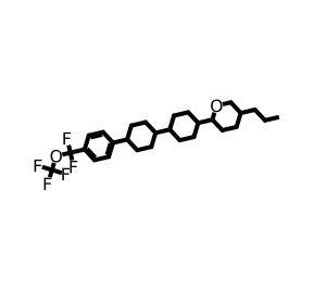 CCCC1CCC(C2CCC(C3CCC(c4ccc(C(F)(F)OC(F)(F)F)cc4)CC3)CC2)OC1